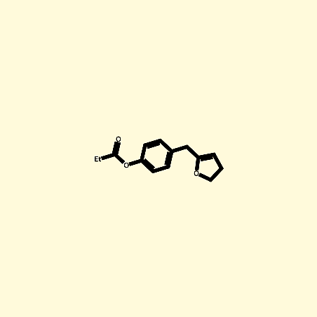 CCC(=O)Oc1ccc(CC2=CCCO2)cc1